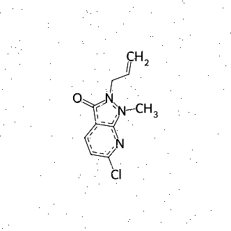 C=CCn1c(=O)c2ccc(Cl)nc2n1C